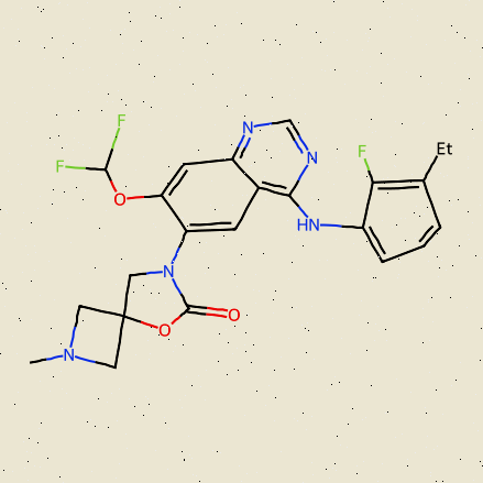 CCc1cccc(Nc2ncnc3cc(OC(F)F)c(N4CC5(CN(C)C5)OC4=O)cc23)c1F